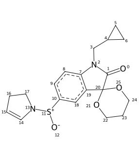 O=C1N(CC2CC2)c2ccc([S+]([O-])N3C=CCC3)cc2C12OCCCO2